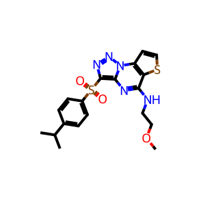 COCCNc1nc2c(S(=O)(=O)c3ccc(C(C)C)cc3)nnn2c2ccsc12